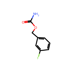 NC(=O)OCc1cccc(F)c1